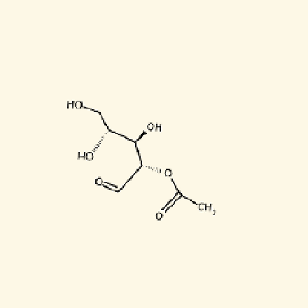 CC(=O)O[C@H](C=O)[C@H](O)[C@H](O)CO